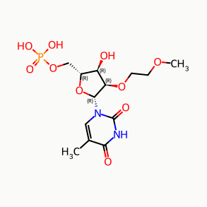 COCCO[C@@H]1[C@H](O)[C@@H](COP(=O)(O)O)O[C@H]1n1cc(C)c(=O)[nH]c1=O